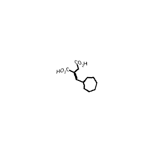 O=C(O)CC(=CC1CCCCCC1)C(=O)O